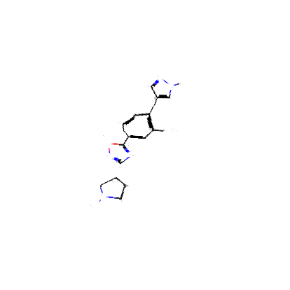 COc1cc(-c2nc([C@@H]3CCN(C#N)C3)no2)ccc1-c1cnn(C)c1